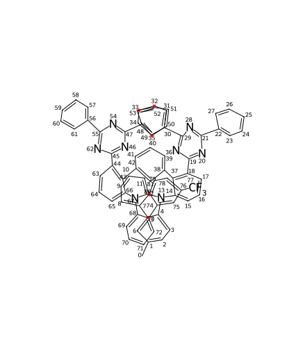 Cc1ccc2c(c1)c1ccccc1n2-c1cccc(-c2nc(-c3ccccc3)nc(-c3ccccc3)n2)c1-c1cccc(-c2c(-c3nc(-c4ccccc4)nc(-c4ccccc4)n3)cccc2-n2c3ccccc3c3cc(C(F)(F)F)ccc32)c1